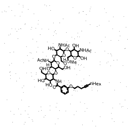 CCCCCCC#CCCCOc1cccc(C(=O)NC2C(OC3C(CO)OC(OC4C(CO)OC(OC5C(COC)OC(O)C(NC(C)=O)C5O)C(NC(C)=O)C4O)C(NC(C)=O)C3O)OC(CO)C(O)C2O)c1